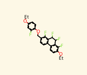 CCOc1ccc(OCc2ccc3c(c2F)C(F)C(F)c2c-3ccc(OCC)c2F)c(F)c1